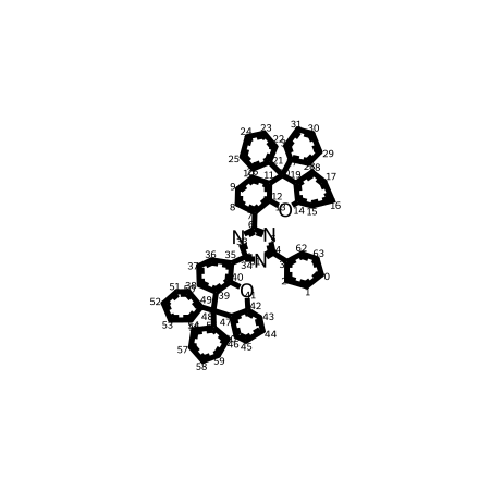 c1ccc(-c2nc(-c3cccc4c3Oc3ccccc3C4(c3ccccc3)c3ccccc3)nc(-c3cccc4c3Oc3ccccc3C4(c3ccccc3)c3ccccc3)n2)cc1